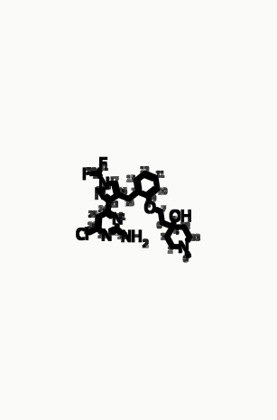 CN1CCC(O)(CCOc2ccccc2Cc2cn(C(F)F)nc2-c2cc(Cl)nc(N)n2)CC1